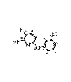 CCc1cccc(Oc2ccc(F)c(F)n2)c1